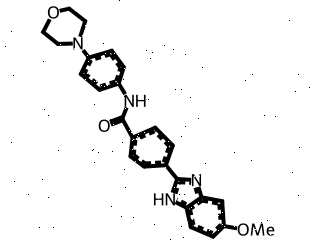 COc1ccc2[nH]c(-c3ccc(C(=O)Nc4ccc(N5CCOCC5)cc4)cc3)nc2c1